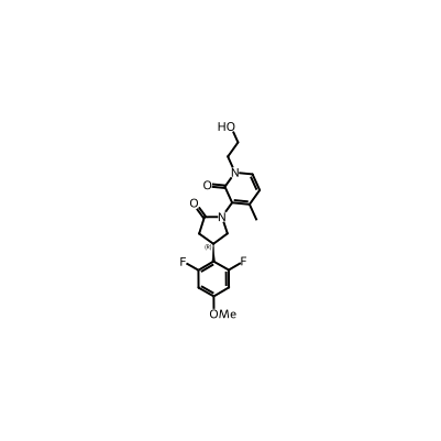 COc1cc(F)c([C@H]2CC(=O)N(c3c(C)ccn(CCO)c3=O)C2)c(F)c1